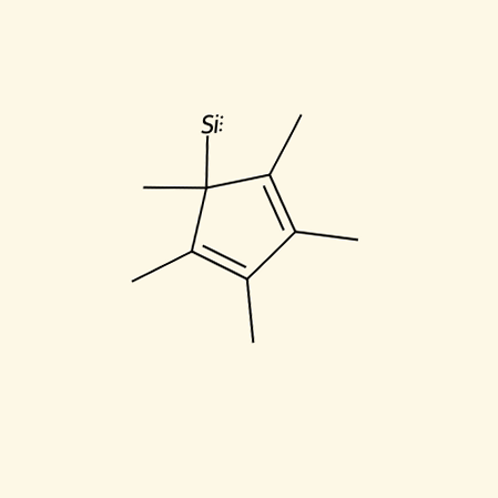 CC1=C(C)C(C)([Si])C(C)=C1C